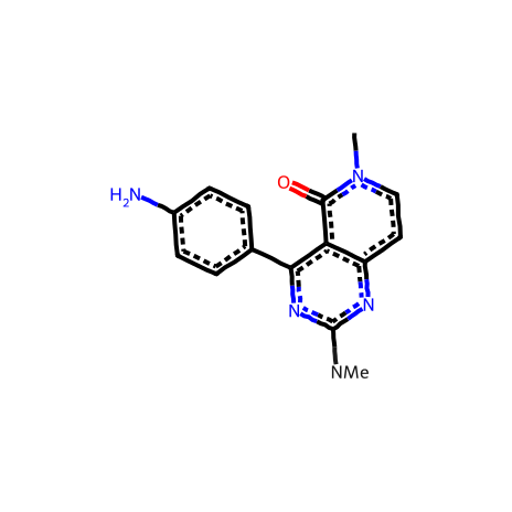 CNc1nc(-c2ccc(N)cc2)c2c(=O)n(C)ccc2n1